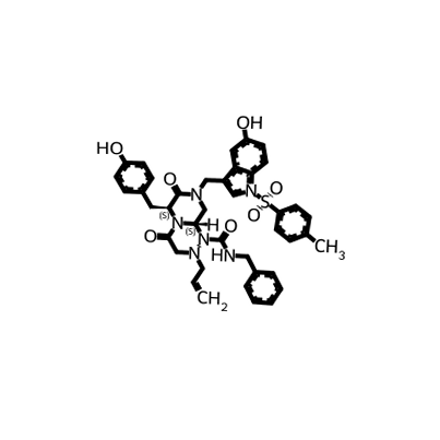 C=CCN1CC(=O)N2[C@@H](Cc3ccc(O)cc3)C(=O)N(Cc3cn(S(=O)(=O)c4ccc(C)cc4)c4ccc(O)cc34)C[C@@H]2N1C(=O)NCc1ccccc1